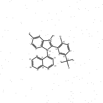 Cc1ccc2c(c1)[n+](C)c(-c1cc(C(C)(C)C)ccc1C)n2-c1cccc2ccccc12